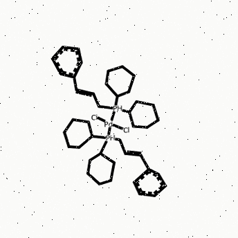 [Cl][Pd]([Cl])([PH](C/C=C/c1ccccc1)(C1CCCCC1)C1CCCCC1)[PH](C/C=C/c1ccccc1)(C1CCCCC1)C1CCCCC1